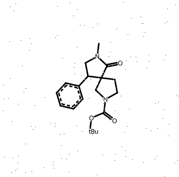 CN1CC(c2ccccc2)C2(CCN(C(=O)OC(C)(C)C)C2)C1=O